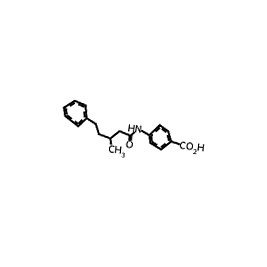 CC(CCc1ccccc1)CC(=O)Nc1ccc(C(=O)O)cc1